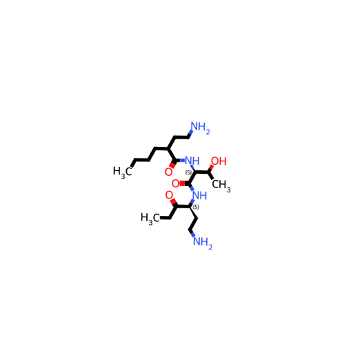 CCCCC(CCN)C(=O)N[C@H](C(=O)N[C@@H](CCN)C(=O)CC)C(C)O